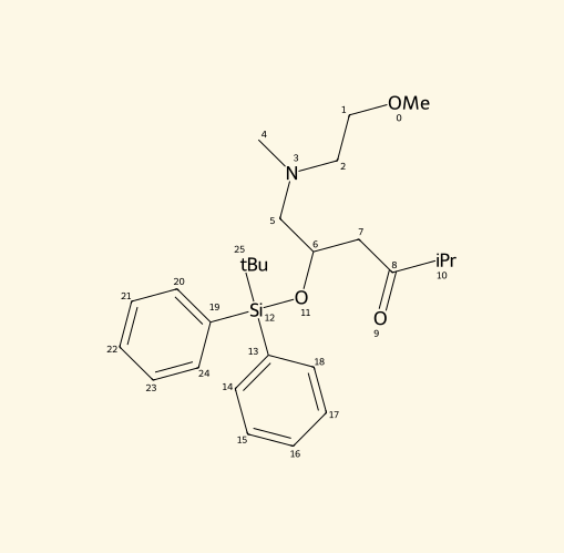 COCCN(C)CC(CC(=O)C(C)C)O[Si](c1ccccc1)(c1ccccc1)C(C)(C)C